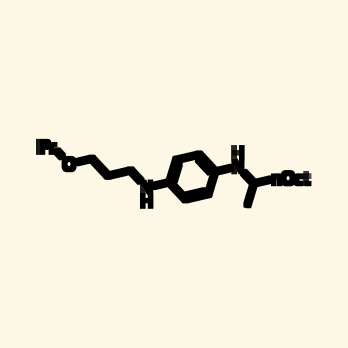 CCCCCCCCC(C)Nc1ccc(NCCCOC(C)C)cc1